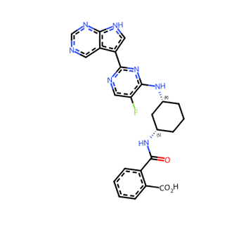 O=C(O)c1ccccc1C(=O)N[C@H]1CCC[C@@H](Nc2nc(-c3c[nH]c4ncncc34)ncc2F)C1